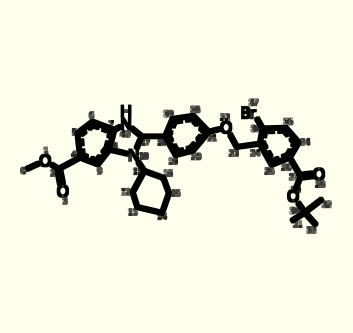 COC(=O)c1ccc2c(c1)N(C1CCCCC1)C(c1ccc(OCc3cc(C(=O)OC(C)(C)C)ccc3Br)cc1)N2